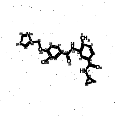 Cc1ccc(C(=O)NC2CC2)cc1NC(=O)c1ccc(OCc2cscn2)c(Cl)c1